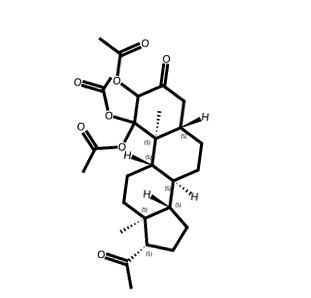 CC(=O)OC1C(=O)C[C@@H]2CC[C@H]3[C@@H]4CC[C@H](C(C)=O)[C@@]4(C)CC[C@@H]3[C@@]2(C)C1(OC(C)=O)OC(C)=O